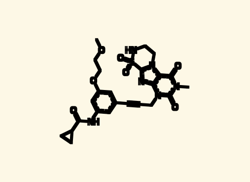 COCCOc1cc(C#CCn2c(=O)n(C)c(=O)c3c2nc2n3CCNS2(=O)=O)cc(NC(=O)C2CC2)c1